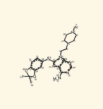 CC(=O)N1CCC(CCn2c(Sc3ccc4c(c3)OC(F)(F)O4)nc3c(N)ncnc32)CC1